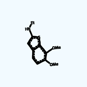 CCNc1cc2ccc(OC)c(OC)c2s1